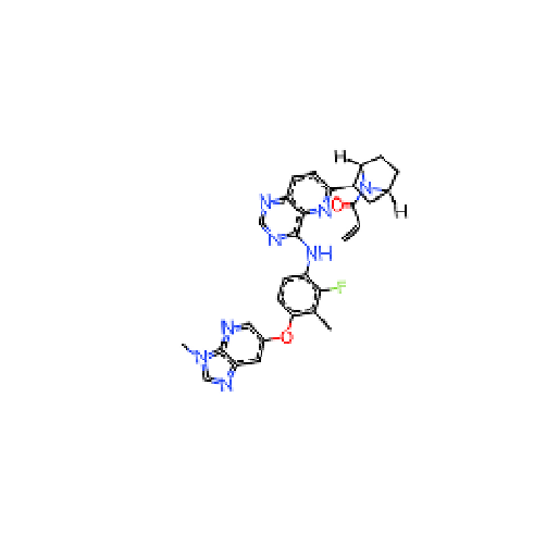 C=CC(=O)N1[C@@H]2CC[C@H]1[C@H](c1ccc3ncnc(Nc4ccc(Oc5cnc6c(c5)ncn6C)c(C)c4F)c3n1)C2